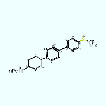 CCCCCC1CCC(c2ccc(-c3ccc(SC(F)(F)F)cc3)cc2)CC1